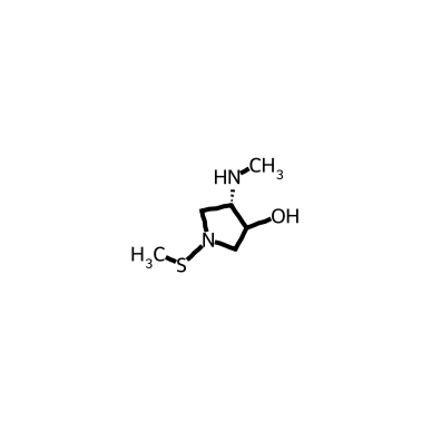 CN[C@H]1CN(SC)CC1O